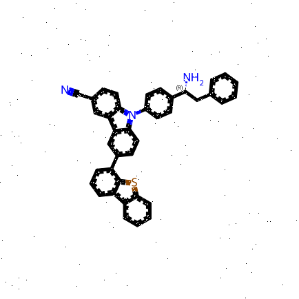 N#Cc1ccc2c(c1)c1cc(-c3cccc4c3sc3ccccc34)ccc1n2-c1ccc([C@H](N)Cc2ccccc2)cc1